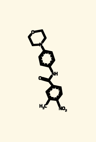 Cc1cc(C(=O)Nc2ccc(N3CCOCC3)cc2)ccc1[N+](=O)[O-]